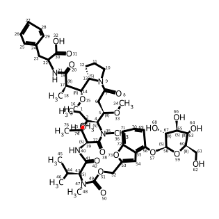 CCC(C)[C@@H]([C@@H](CC(=O)N1CCC[C@H]1[C@H](OC)[C@@H](C)C(=O)NC(Cc1ccccc1)C(=O)O)OC)N(C)C(=O)[C@@H](NC(=O)[C@H](C(C)C)N(C)C(=O)OCc1cc2c(O[C@@H]3O[C@H](CO)[C@H](O)[C@H](O)[C@H]3O)cccc2o1)C(C)C